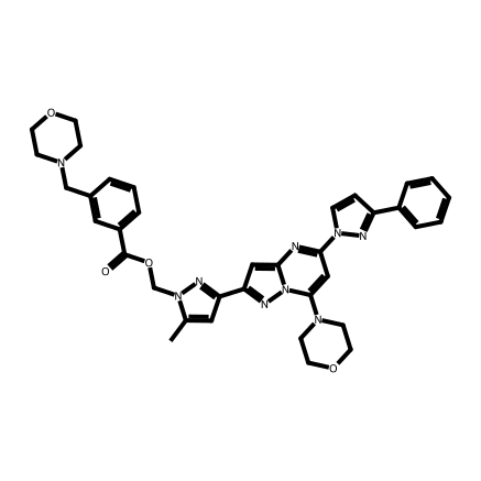 Cc1cc(-c2cc3nc(-n4ccc(-c5ccccc5)n4)cc(N4CCOCC4)n3n2)nn1COC(=O)c1cccc(CN2CCOCC2)c1